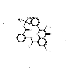 Cc1cc(C(C)Nc2ccccc2C(=O)OC(C)(C)C)c2nc(-c3ccncc3)c(C)c(=O)n2c1